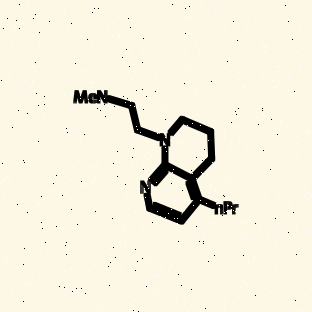 CCCc1ccnc2c1CCCN2CCNC